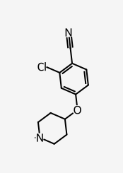 N#Cc1ccc(OC2CC[N]CC2)cc1Cl